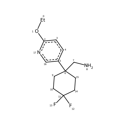 CCOc1ccc(C2(CN)CCC(F)(F)CC2)cn1